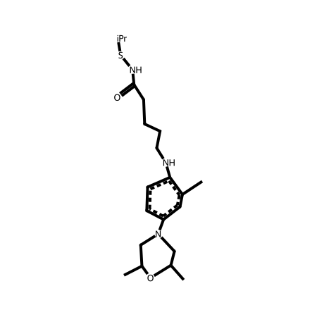 Cc1cc(N2CC(C)OC(C)C2)ccc1NCCCCC(=O)NSC(C)C